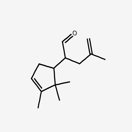 C=C(C)CC(C=O)C1CC=C(C)C1(C)C